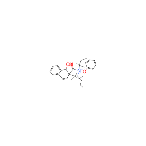 CCCC[N+](Oc1ccccc1)(C(=O)C1(C(C)(C)CC)C=Cc2ccccc2C1O)C(C)(C)CC